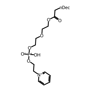 CCCCCCCCCCCC(=O)OCCOCCO[P+]([O-])(O)OCC[n+]1ccccc1